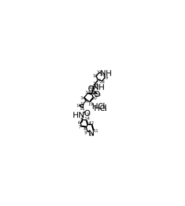 Cl.Cl.O=C(Nc1ccc2cnccc2c1)[C@@H]1C[C@H]1c1ccc(S(=O)(=O)NCC2CCNCC2)cc1